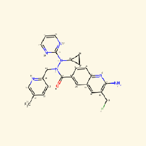 Nc1nc2ccc(C(=O)N(Cc3ccc(C(F)(F)F)cn3)N(c3ncccn3)C3CC3)cc2cc1CF